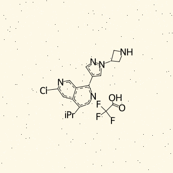 CC(C)c1cnc(-c2cnn(C3CNC3)c2)c2cnc(Cl)cc12.O=C(O)C(F)(F)F